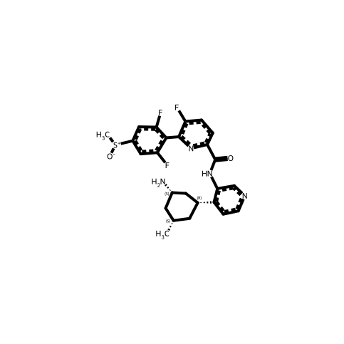 C[C@@H]1C[C@H](N)C[C@H](c2ccncc2NC(=O)c2ccc(F)c(-c3c(F)cc([S+](C)[O-])cc3F)n2)C1